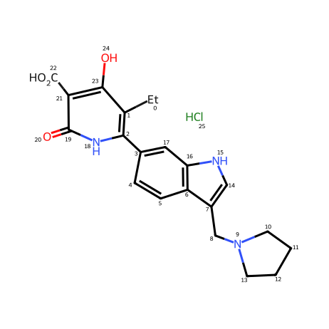 CCc1c(-c2ccc3c(CN4CCCC4)c[nH]c3c2)[nH]c(=O)c(C(=O)O)c1O.Cl